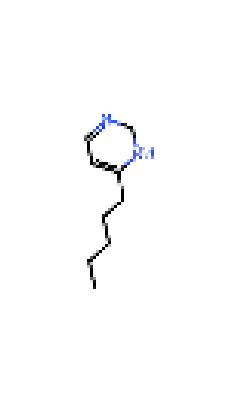 CCCCCC1=CC=NCN1